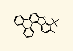 Cc1ccc2c(oc3ccc4c5ccccc5c5ccccc5c4c32)c1C(C)(C)C